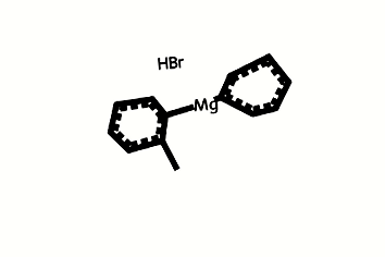 Br.Cc1cccc[c]1[Mg][c]1ccccc1